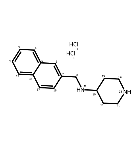 Cl.Cl.c1ccc2cc(CNC3CCNCC3)ccc2c1